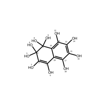 OC1=C(O)C(O)(O)C(O)(O)c2c(O)c(O)c(O)c(O)c21